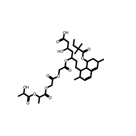 CCC(C)(C)C(=O)OC1CC(C)C=C2C=CC(C)C(CCC(CC(O)CC(=O)O)OC(=O)COC(=O)COC(=O)C(C)OC(=O)C(C)O)C21